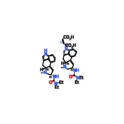 CCN(CC)C(=O)N[C@H]1C=C2c3cccc4[nH]cc(c34)C[C@H]2N(C)C1.CCN(CC)C(=O)N[C@H]1C=C2c3cccc4[nH]cc(c34)C[C@H]2N(C)C1.O=C(O)/C=C\C(=O)O